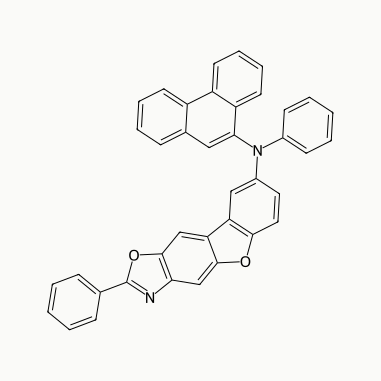 c1ccc(-c2nc3cc4oc5ccc(N(c6ccccc6)c6cc7ccccc7c7ccccc67)cc5c4cc3o2)cc1